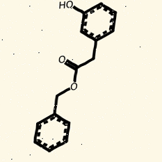 O=C(Cc1cccc(O)c1)OCc1ccccc1